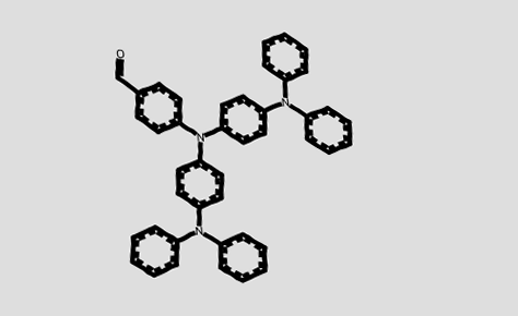 O=Cc1ccc(N(c2ccc(N(c3ccccc3)c3ccccc3)cc2)c2ccc(N(c3ccccc3)c3ccccc3)cc2)cc1